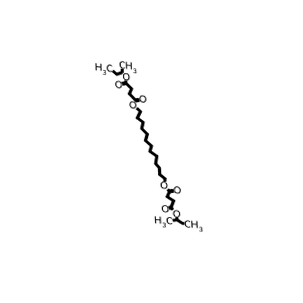 CCC(C)OC(=O)CCC(=O)OCCCCCCCCCCCCCOC(=O)CCC(=O)OC(C)CC